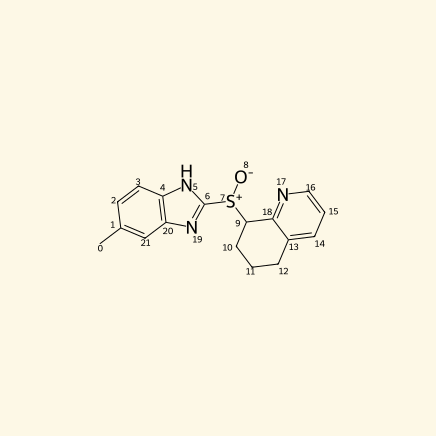 Cc1ccc2[nH]c([S+]([O-])C3CCCc4cccnc43)nc2c1